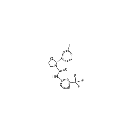 FC(F)(F)c1cccc(NC(=S)N2CCOC2c2cccc(I)c2)c1